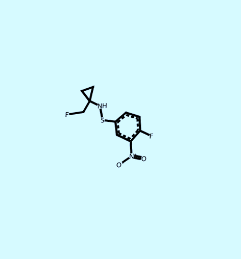 O=[N+]([O-])c1cc(SNC2(CF)CC2)ccc1F